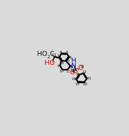 O=C(O)C(O)c1cccc2c1CCCC2NS(=O)(=O)c1ccccc1